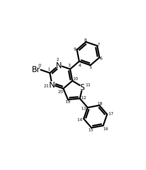 Brc1nc(-c2ccccc2)c2sc(-c3ccccc3)cc2n1